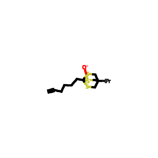 C#CCCCCC12SCC(C(C)C)(CS1)C[S+]2[O-]